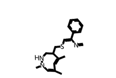 C=N/C(=C\SCC1CNN(C)/C=C(C)\C=C\1C)c1ccccc1